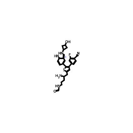 N#Cc1ccc(-c2cc(CC(N)CCCNC=O)sc2C2=C/C(=C/NC3CC(O)C3)C(=N)C=C2)cc1F